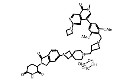 COc1cc(-c2cn(C)c(=O)c3cnc(N4CCC4)cc23)cc(OC)c1CN1CC(CN2CCC3(CC2)CN(c2ccc4c(c2)CN(C2CCC(=O)NC2=O)C4=O)C3)C1.O=CO.O=CO